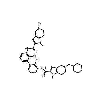 CCN1CCc2c(nc(C(=O)Nc3cccc(-c4cccc(NC(=O)c5nc6c(n5C)CCN(CC5CCCCC5)C6)c4Cl)c3Cl)n2C)C1